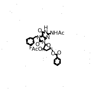 CC(=O)Nc1nc2c(c(=O)[nH]1)n(Cc1cccc(F)c1)c(=O)n2[C@@H]1O[C@H](COC(=O)c2ccccc2)C[C@H]1OC(C)=O